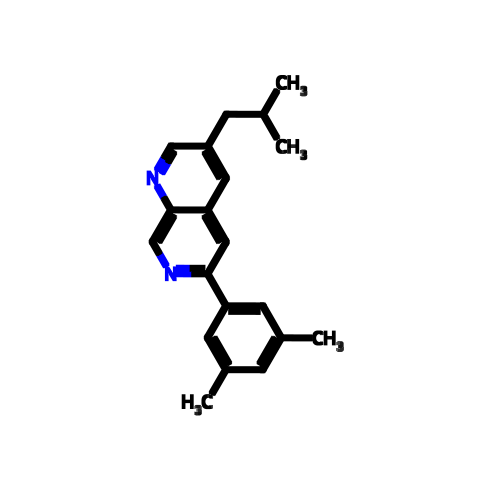 Cc1cc(C)cc(-c2cc3cc(CC(C)C)cnc3cn2)c1